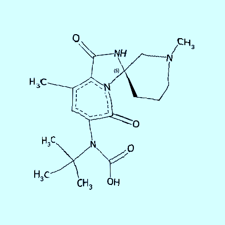 Cc1cc(N(C(=O)O)C(C)(C)C)c(=O)n2c1C(=O)N[C@@]21CCCN(C)C1